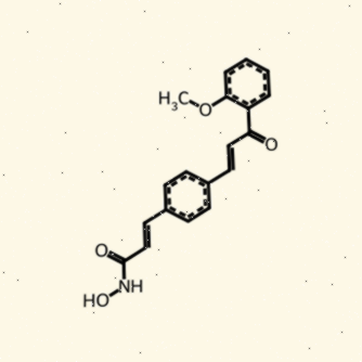 COc1ccccc1C(=O)/C=C/c1ccc(/C=C/C(=O)NO)cc1